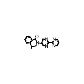 CC1CN(c2cnc(-c3ncccn3)nc2)C(=O)c2ccccc21